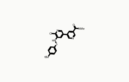 CNC(=O)c1cncc(-c2cnc(Cl)c(NSc3ccc(C(C)(C)C)cc3)c2)c1